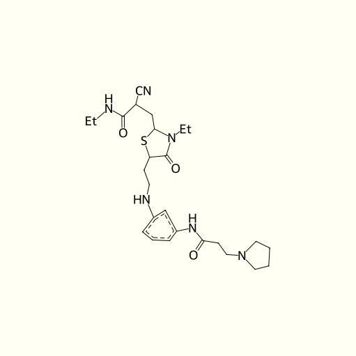 CCNC(=O)C(C#N)CC1SC(CCNc2cccc(NC(=O)CCN3CCCC3)c2)C(=O)N1CC